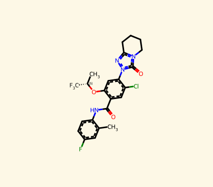 Cc1cc(F)ccc1NC(=O)c1cc(Cl)c(-n2nc3n(c2=O)CCCC3)cc1O[C@@H](C)C(F)(F)F